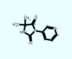 CC1(C)NC(=O)N(c2cccnc2)C1=O